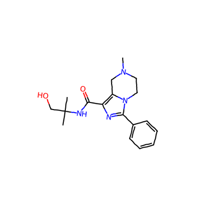 CN1CCn2c(-c3ccccc3)nc(C(=O)NC(C)(C)CO)c2C1